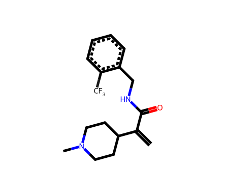 C=C(C(=O)NCc1ccccc1C(F)(F)F)C1CCN(C)CC1